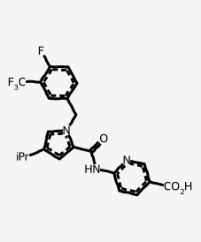 CC(C)c1cc(C(=O)Nc2ccc(C(=O)O)cn2)n(Cc2ccc(F)c(C(F)(F)F)c2)c1